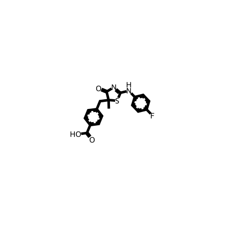 CC1(Cc2ccc(C(=O)O)cc2)SC(Nc2ccc(F)cc2)=NC1=O